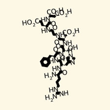 N=C(N)NCCC[C@H](N)C(=O)N[C@@H](Cc1c[nH]cn1)C(=O)N[C@@H](Cc1ccccc1)C(=O)N[C@@H](CO)C(=O)N[C@@H](CC(=O)O)C(=O)NCC(=O)N[C@@H](CCC(=O)O)C(=O)N[C@@H](CC(=O)O)C(=O)O